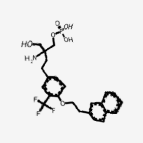 NC(CO)(CCc1ccc(OCCc2ccc3ccccc3c2)c(C(F)(F)F)c1)COP(=O)(O)O